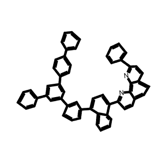 c1ccc(-c2ccc(-c3cc(-c4ccccc4)cc(-c4cccc(-c5ccc(-c6ccc7ccc8ccc(-c9ccccc9)nc8c7n6)c6ccccc56)c4)c3)cc2)cc1